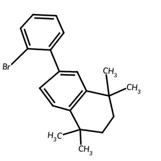 CC1(C)CCC(C)(C)c2cc(-c3ccccc3Br)ccc21